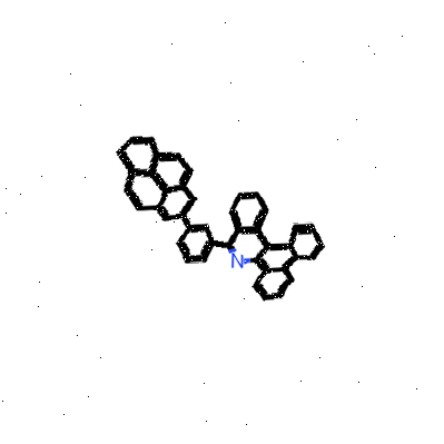 c1cc(-c2cc3ccc4cccc5ccc(c2)c3c45)cc(-c2nc3c4ccccc4c4ccccc4c3c3ccccc23)c1